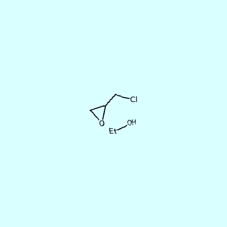 CCO.ClCC1CO1